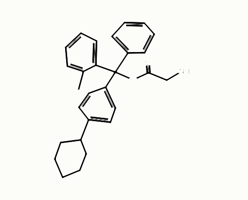 NCC(=O)OC(c1ccccc1)(c1ccc(C2CCCCC2)cc1)c1ccccc1Cl